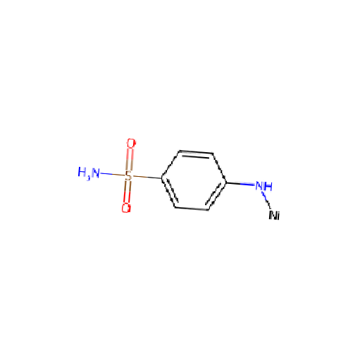 NS(=O)(=O)c1ccc([NH][Ni])cc1